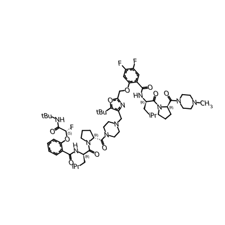 CC(C)C[C@@H](NC(=O)c1cc(F)c(F)cc1OCc1nc(CN2CCN(C(=O)[C@H]3CCCN3C(=O)[C@@H](CC(C)C)NC(=O)c3ccccc3O[C@@H](F)C(=O)NC(C)(C)C)CC2)c(C(C)(C)C)o1)C(=O)N1CCC[C@@H]1C(=O)N1CCN(C)CC1